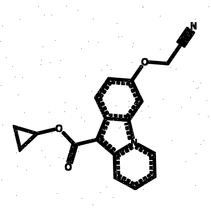 N#CCOc1ccc2c(C(=O)OC3CC3)c3ccccn3c2c1